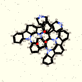 CC[C@@H](/C(C)=C(\C(=C(/C)c1ccncc1)c1ccncc1)n1c2ccccc2c2ccc3c4ccccc4n(-c4ccccc4)c3c21)n1c2ccccc2c2ccc3c4ccccc4n(-c4ccccc4)c3c21